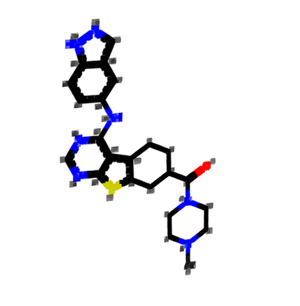 CC(=O)N1CCN(C(=O)C2CCc3c(sc4ncnc(Nc5ccc6[nH]ncc6c5)c34)C2)CC1